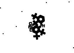 CC(C)(C)c1cccc(Pc2cccc(C(C)(C)C)c2C(C)(C)C)c1C(C)(C)C.[Cl][Pd][Cl]